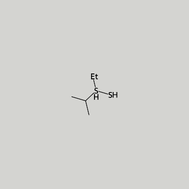 CC[SH](S)C(C)C